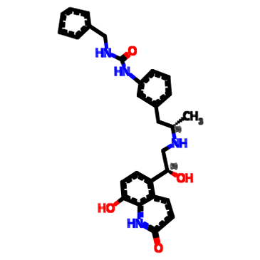 C[C@@H](Cc1cccc(NC(=O)NCc2ccccc2)c1)NC[C@@H](O)c1ccc(O)c2[nH]c(=O)ccc12